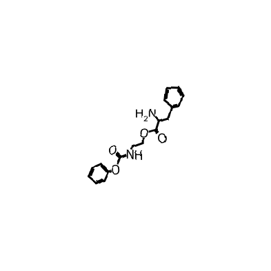 NC(Cc1ccccc1)C(=O)OCCNC(=O)Oc1ccccc1